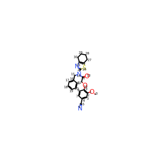 COc1cc(C#N)ccc1OCC(=O)N(Cc1ccccc1)c1nc2c(s1)CCCC2